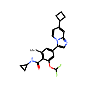 COc1cc(-c2cnc3cc(C4CCC4)ccn23)cc(OC(F)F)c1C(=O)NC1CC1